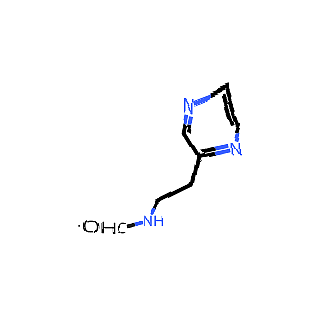 O=[C]NCCc1cnccn1